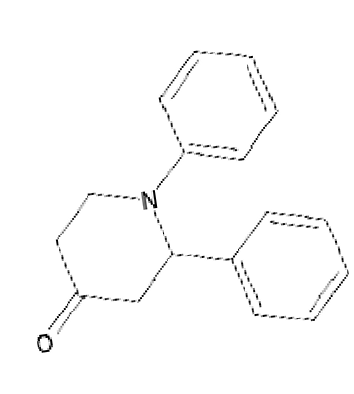 O=C1CCN(c2ccccc2)C(c2ccccc2)C1